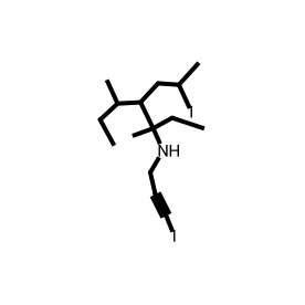 CCC(C)C(CC(C)I)C(C)(CC)NCC#CI